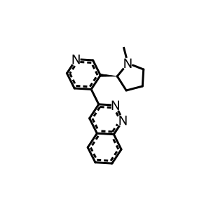 CN1CCC[C@H]1c1cnccc1-c1cc2ccccc2nn1